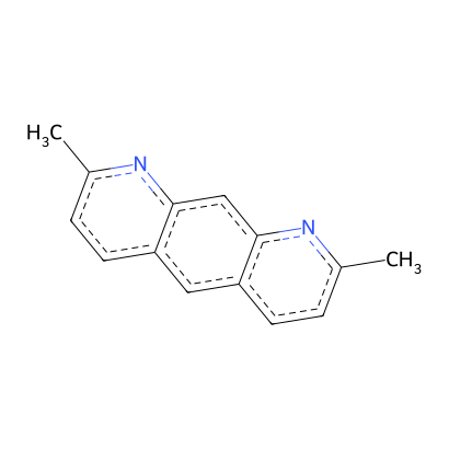 Cc1ccc2cc3ccc(C)nc3cc2n1